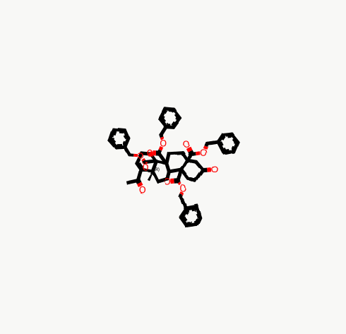 CC(=O)C1=CCCC2(C(=O)OCc3ccccc3)C3(C(=O)OCc4ccccc4)CCC4(C(=O)OCc5ccccc5)CC(=O)CCC4(C(=O)OCc4ccccc4)C3CC[C@]12C